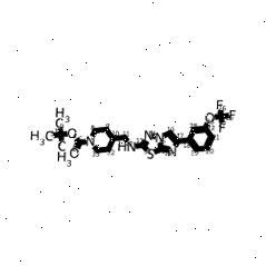 CC(C)(C)OC(=O)N1CCC(CNc2nn3cc(-c4cccc(OC(F)(F)F)c4)nc3s2)CC1